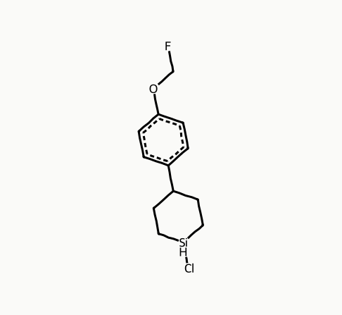 FCOc1ccc(C2CC[SiH](Cl)CC2)cc1